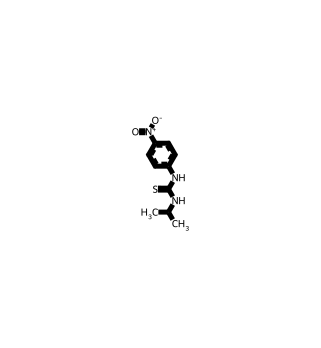 CC(C)NC(=S)Nc1ccc([N+](=O)[O-])cc1